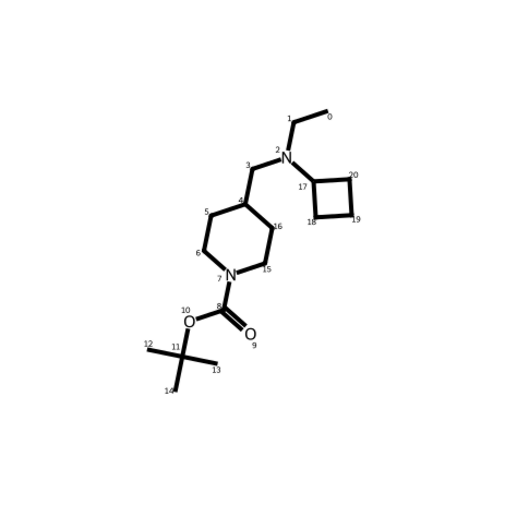 CCN(CC1CCN(C(=O)OC(C)(C)C)CC1)C1CCC1